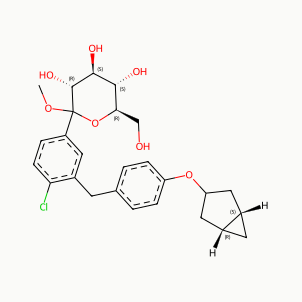 COC1(c2ccc(Cl)c(Cc3ccc(OC4C[C@@H]5C[C@@H]5C4)cc3)c2)O[C@H](CO)[C@@H](O)[C@H](O)[C@H]1O